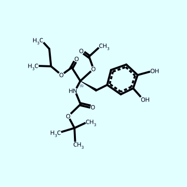 CCC(C)OC(=O)[C@@](Cc1ccc(O)c(O)c1)(NC(=O)OC(C)(C)C)OC(C)=O